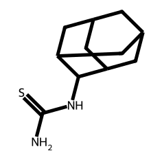 NC(=S)NC1C2CC3CC(C2)CC1C3